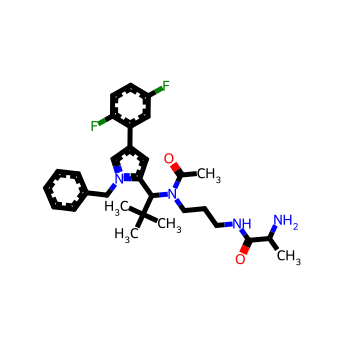 CC(=O)N(CCCNC(=O)C(C)N)C(c1cc(-c2cc(F)ccc2F)cn1Cc1ccccc1)C(C)(C)C